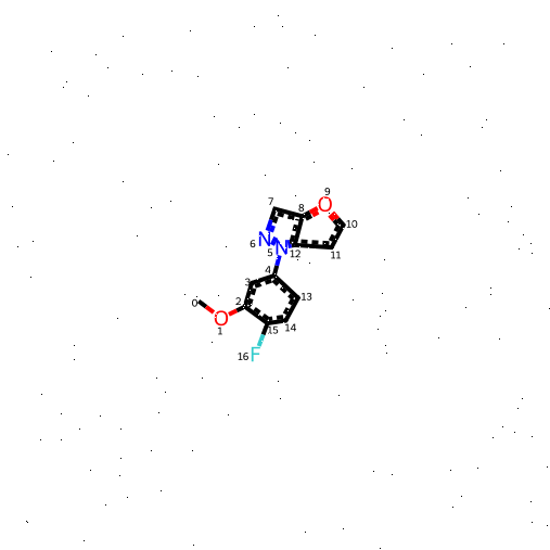 COc1cc(-n2ncc3occc32)ccc1F